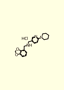 Cl.c1cc(CNCc2ccc(N3CCCCC3)nc2)c2c(c1)OCO2